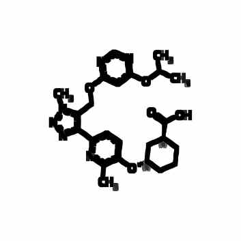 Cc1nc(-c2nnn(C)c2COc2cc(OC(C)C)ncn2)ccc1O[C@H]1CCC[C@H](C(=O)O)C1